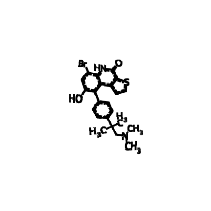 CN(C)CC(C)(C)c1ccc(-c2c(O)cc(Br)c3[nH]c(=O)c4sccc4c23)cc1